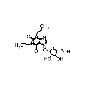 CCCn1c(=O)c2c(ncn2O[C@@H]2O[C@H](CO)[C@@H](O)[C@H]2O)n(CCC)c1=O